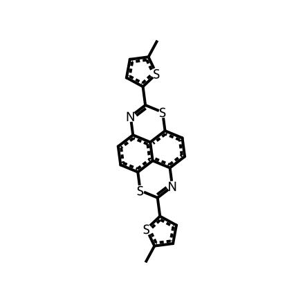 Cc1ccc(C2=Nc3ccc4c5c(ccc(c35)S2)N=C(c2ccc(C)s2)S4)s1